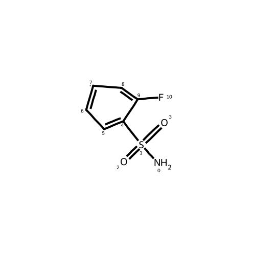 NS(=O)(=O)c1cc[c]cc1F